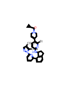 CCOC(=O)c1cnn(-c2cccc(-c3cccc4c3C(Nc3ccc(C5=CCN(C(=O)C6CC6)CC5)c(CC)n3)CC4)n2)c1OC